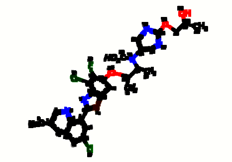 COc1cnc2c(-c3nc4c(Cl)c(F)c(OC(C)C(C)N(C(=O)O)c5cnc(OC[C@@H](C)O)nc5)cc4s3)cc(Cl)cc2c1